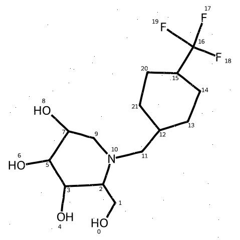 OCC1C(O)C(O)C(O)CN1CC1CCC(C(F)(F)F)CC1